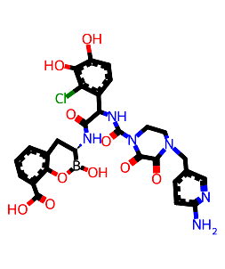 Nc1ccc(CN2CCN(C(=O)NC(C(=O)N[C@H]3Cc4cccc(C(=O)O)c4OB3O)c3ccc(O)c(O)c3Cl)C(=O)C2=O)cn1